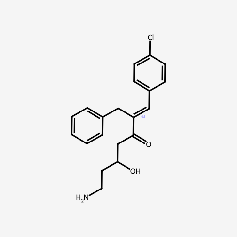 NCCC(O)CC(=O)/C(=C/c1ccc(Cl)cc1)Cc1ccccc1